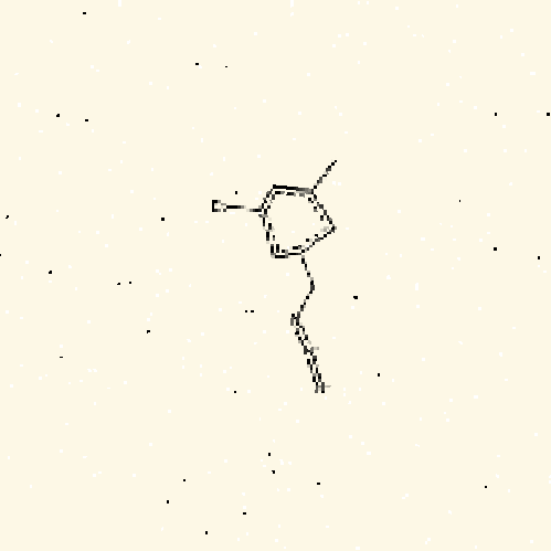 CCc1cc(C)cc(CN=[N+]=[N-])c1